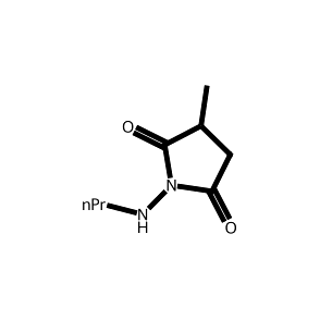 CCCNN1C(=O)CC(C)C1=O